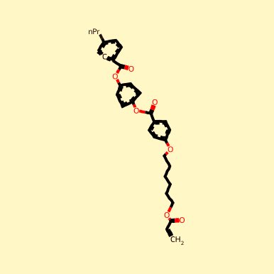 C=CC(=O)OCCCCCCOc1ccc(C(=O)Oc2ccc(OC(=O)c3ccc(CCC)cc3)cc2)cc1